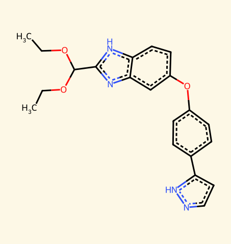 CCOC(OCC)c1nc2cc(Oc3ccc(-c4ccn[nH]4)cc3)ccc2[nH]1